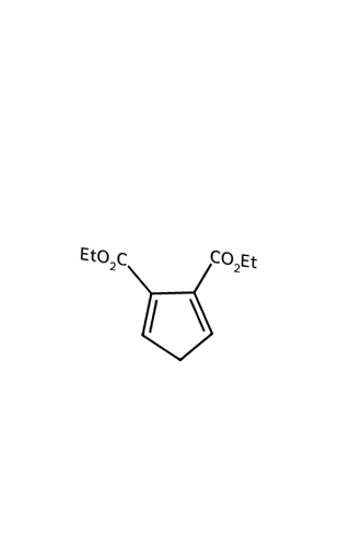 CCOC(=O)C1=CCC=C1C(=O)OCC